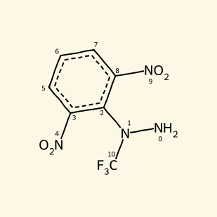 NN(c1c([N+](=O)[O-])cccc1[N+](=O)[O-])C(F)(F)F